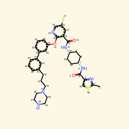 Cc1nc(C(=O)N[C@H]2CC[C@@H](NC(=O)c3cc(F)cnc3Oc3cccc(-c4cccc(CCCN5CCNCC5)c4)c3)CC2)cs1